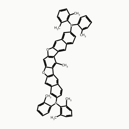 Cc1ccccc1N(c1ccc2cc3c(cc2c1)oc1cc2oc4cc5cc(N(c6ccccc6C)c6c(C)cccc6C)ccc5cc4c2c(C)c13)c1c(C)cccc1C